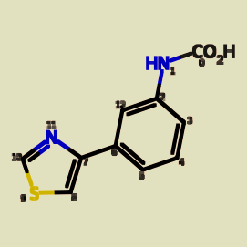 O=C(O)Nc1cccc(-c2cscn2)c1